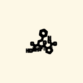 CN(C(=O)[C@@H]1CCC[C@@H]1C(=O)O)C(CCc1ccccc1)C(=O)NO